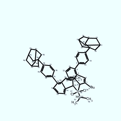 CCC(C)C1=Cc2c(-c3ccc(C45CC6CC(CC(C6)C4)C5)cc3)cccc2[CH]1[Zr]([Cl])([Cl])([CH]1C(C)=Cc2c(-c3ccc(C45CC6CC(CC(C6)C4)C5)cc3)cccc21)[SiH](C)C